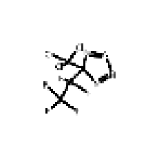 FC(F)(F)C(F)(F)C1(C(Cl)(Cl)Cl)N=NN=N1